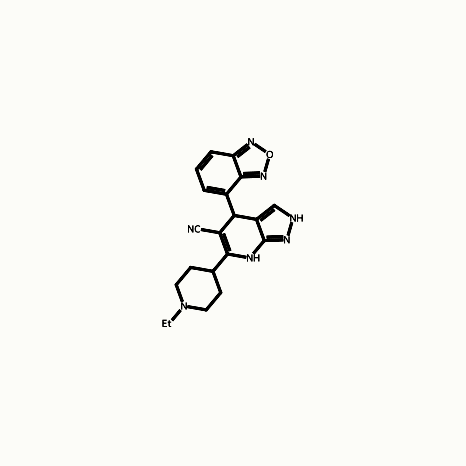 CCN1CCC(C2=C(C#N)C(c3cccc4nonc34)c3c[nH]nc3N2)CC1